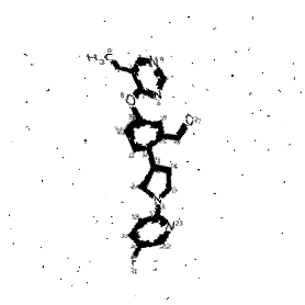 CCc1cncnc1Oc1ccc(C2CCN(c3ccc(F)cn3)C2)c(C=O)c1